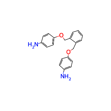 Nc1ccc(OCc2ccccc2COc2ccc(N)cc2)cc1